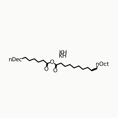 CCCCCCCC/C=C\CCCCCCCC(=O)OC(=O)CCCCCCCCCCCCCCC.[KH].[KH]